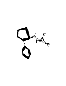 FB(F)F.[K][C@@H]1CCC[C@H]1c1ccccc1